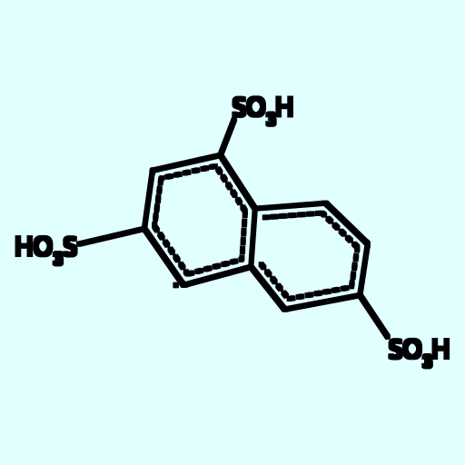 O=S(=O)(O)c1[c]c2cc(S(=O)(=O)O)ccc2c(S(=O)(=O)O)c1